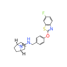 CC(=O)N1[C@@H]2CC[C@H]1CC(NCc1ccc(Oc3nc4ccc(F)cc4s3)cc1)C2